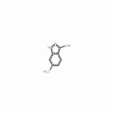 O=Cc1n[nH]c2cc(C(=O)O)ccc12